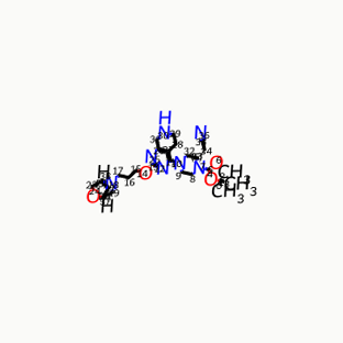 CC(C)(C)OC(=O)N1CCN(c2nc(OCCCN3C[C@@H]4C[C@H]3CO4)nc3c2CCNC3)C[C@@H]1CC#N